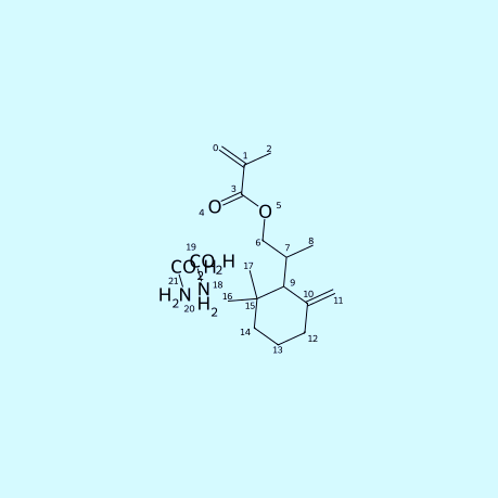 C=C(C)C(=O)OCC(C)C1C(=C)CCCC1(C)C.NC(=O)O.NC(=O)O